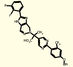 CCCOc1ccc(-c2ncc(C(C)(C(=O)O)N3Cc4nc(-c5cccc(F)c5F)[nH]c4C=N3)cn2)c(C(F)(F)F)c1